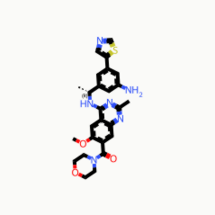 COc1cc2c(N[C@H](C)c3cc(N)cc(-c4cncs4)c3)nc(C)nc2cc1C(=O)N1CCOCC1